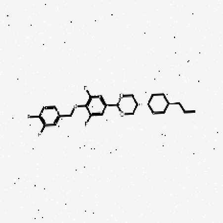 CCC[C@H]1CC[C@H](C2COC(c3cc(F)c(OCc4ccc(F)c(F)c4)c(F)c3)OC2)CC1